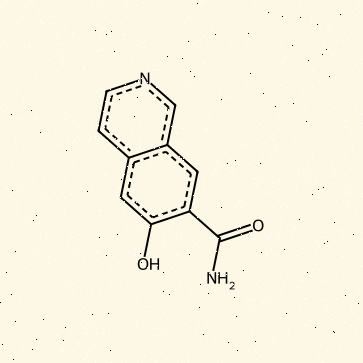 NC(=O)c1cc2cnccc2cc1O